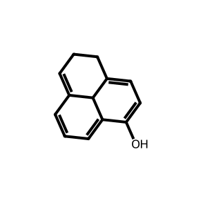 OC1=CC=C2CCC=C3C=CC=C1C32